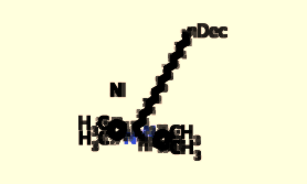 CCCCCCCCCCCCCCCCCCCCCCCCCCCC(=N\c1ccc(C)c(C)c1)/C(CCCCC)=N/c1ccc(C)c(C)c1.[Ni]